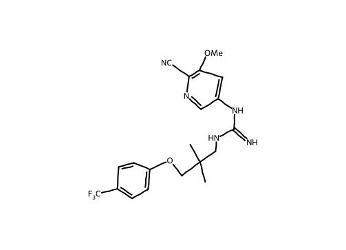 COc1cc(NC(=N)NCC(C)(C)COc2ccc(C(F)(F)F)cc2)cnc1C#N